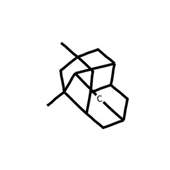 CC12CC3C4CC5CC3C(C)(C1)C(C5)C4C2